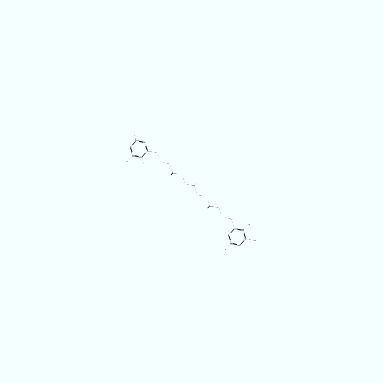 O=C(COCc1cc(I)cc(I)c1I)OCC(O)COC(=O)COCc1cc(I)cc(I)c1I